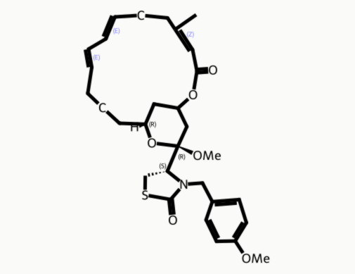 COc1ccc(CN2C(=O)SC[C@@H]2[C@@]2(OC)CC3C[C@@H](CCC/C=C/C=C/CC/C(C)=C\C(=O)O3)O2)cc1